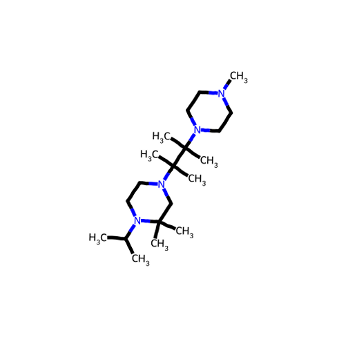 CC(C)N1CCN(C(C)(C)C(C)(C)N2CCN(C)CC2)CC1(C)C